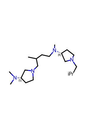 CC(C)CN1CC[C@@H](N(C)CCC(C)CN2CC[C@H](N(C)C)C2)C1